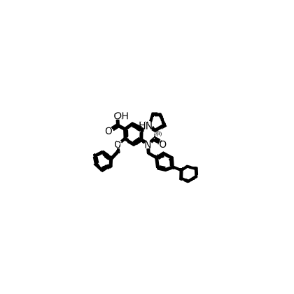 O=C(O)c1ccc(N(Cc2ccc(C3CCCCC3)cc2)C(=O)[C@H]2CCCN2)cc1OCc1ccccc1